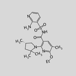 CCOc1nc(N2C[C@@H](C)CC2(C)C)c(C(=O)NS(=O)(=O)c2cccnc2N)cc1C